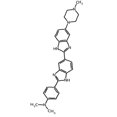 CN1CCN(c2ccc3[nH]c(-c4ccc5[nH]c(-c6ccc(N(C)C)cc6)nc5c4)nc3c2)CC1